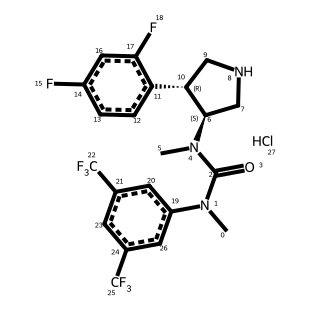 CN(C(=O)N(C)[C@@H]1CNC[C@H]1c1ccc(F)cc1F)c1cc(C(F)(F)F)cc(C(F)(F)F)c1.Cl